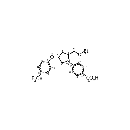 CCOC[C@@H]1C[C@@H](Oc2ccc(C(F)(F)F)cc2)CN1c1ccc(C(=O)O)cc1